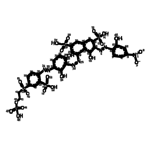 O=[N+]([O-])c1ccc(/N=N/c2c(S(=O)(=O)O)cc3cc(S(=O)(=O)O)cc(/N=N\c4c(O)ccc(/N=N/c5ccc(S(=O)(=O)CCOS(=O)(=O)O)cc5S(=O)(=O)O)c4O)c3c2O)c(O)c1